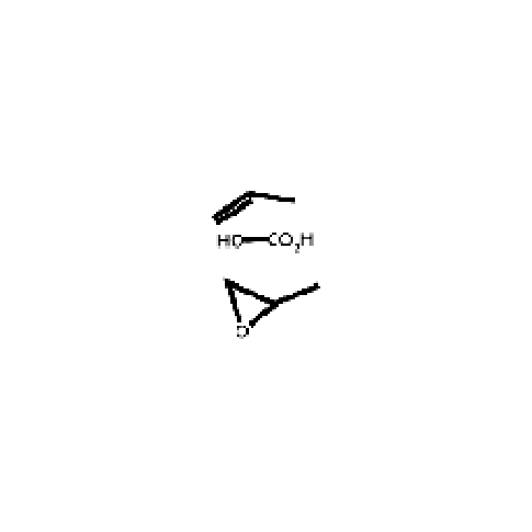 C=CC.CC1CO1.O=C(O)O